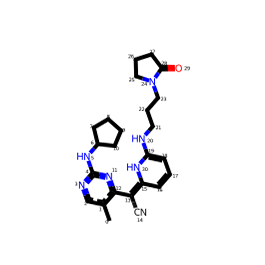 Cc1cnc(NC2CCCC2)nc1/C(C#N)=C1/C=CC=C(NCCCN2CCCC2=O)N1